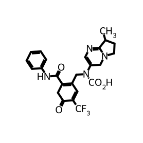 CC1CCN2CC(N(CC3=C(C(=O)Nc4ccccc4)CC(=O)C(C(F)(F)F)=C3)C(=O)O)=CN=C12